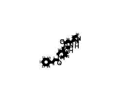 CC1(C)CN(C(=O)CCC2CCCCC2)CCC1(O)Cn1cnc(-c2ccn[nH]2)cc1=O